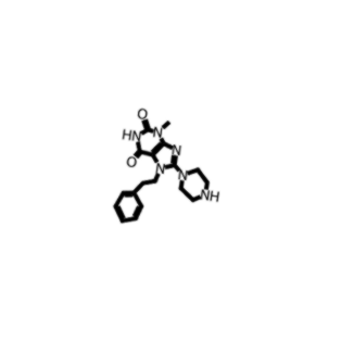 Cn1c(=O)[nH]c(=O)c2c1nc(N1CCNCC1)n2CCc1ccccc1